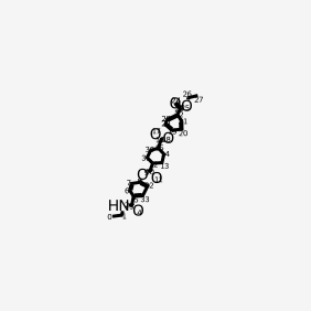 CCNC(=O)c1ccc(OC(=O)C2CCC(C(=O)Oc3ccc(C(=O)OCC)cc3)CC2)cc1